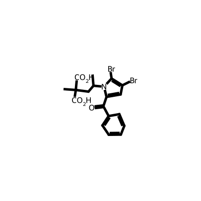 CC(CC(C)(C(=O)O)C(=O)O)n1c(C(=O)c2ccccc2)cc(Br)c1Br